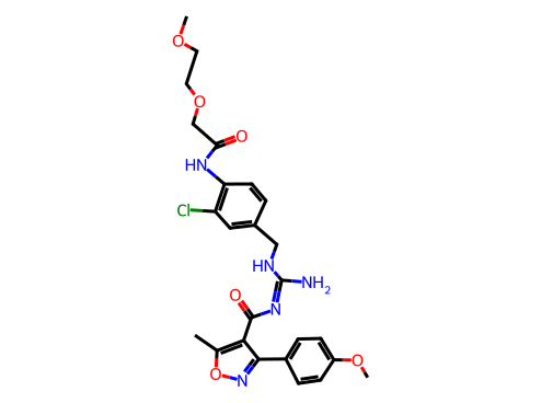 COCCOCC(=O)Nc1ccc(CN/C(N)=N\C(=O)c2c(-c3ccc(OC)cc3)noc2C)cc1Cl